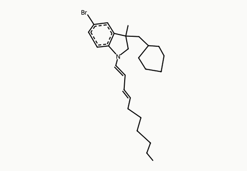 CCCCCCC=CC=CN1CC(C)(CC2CCCCC2)c2cc(Br)ccc21